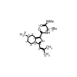 CNC(=O)[C@@H](NC(=O)c1nc(C=C(C)C)n2c1CN(C)CC2)C(C)(C)C